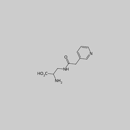 NC(CNC(=O)Cc1cccnc1)C(=O)O